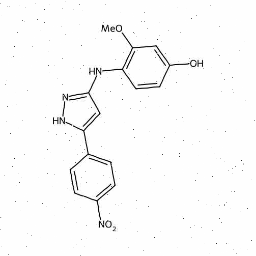 COc1cc(O)ccc1Nc1cc(-c2ccc([N+](=O)[O-])cc2)[nH]n1